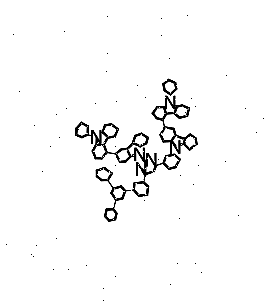 c1ccc(-c2cc(-c3ccccc3)cc(-c3cccc(-c4cc(-c5cccc(-n6c7ccccc7c7cc(-c8cccc9c8c8ccccc8n9-c8ccccc8)ccc76)c5)nc(-n5c6ccccc6c6cc(-c7cccc8c7c7ccccc7n8-c7ccccc7)ccc65)n4)c3)c2)cc1